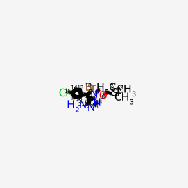 C[Si](C)(C)CCOCn1c(Br)c(-c2ccc(Cl)cc2)c2c(N)ncnc21